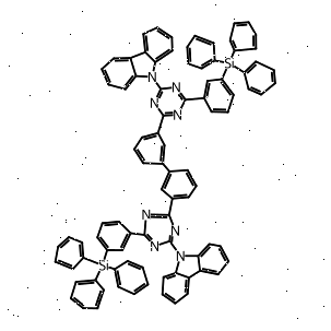 c1ccc([Si](c2ccccc2)(c2ccccc2)c2cccc(-c3nc(-c4cccc(-c5cccc(-c6nc(-c7cccc([Si](c8ccccc8)(c8ccccc8)c8ccccc8)c7)nc(-n7c8ccccc8c8ccccc87)n6)c5)c4)nc(-n4c5ccccc5c5ccccc54)n3)c2)cc1